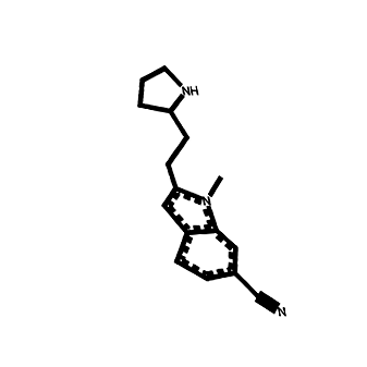 Cn1c(CCC2CCCN2)cc2ccc(C#N)cc21